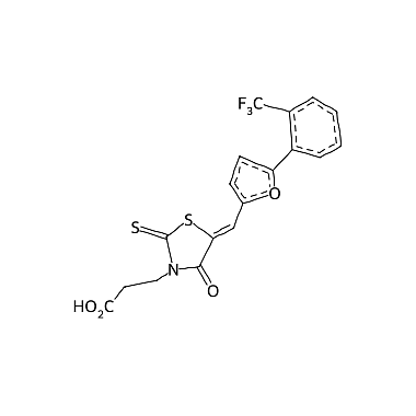 O=C(O)CCN1C(=O)C(=Cc2ccc(-c3ccccc3C(F)(F)F)o2)SC1=S